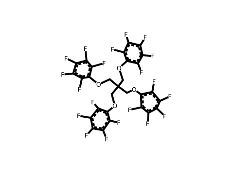 Fc1c(F)c(F)c(OCC(COc2c(F)c(F)c(F)c(F)c2F)(COc2c(F)c(F)c(F)c(F)c2F)COc2c(F)c(F)c(F)c(F)c2F)c(F)c1F